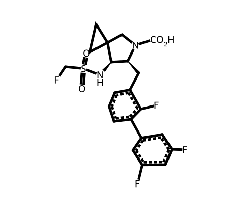 O=C(O)N1CC2(CC2)[C@H](NS(=O)(=O)CF)[C@@H]1Cc1cccc(-c2cc(F)cc(F)c2)c1F